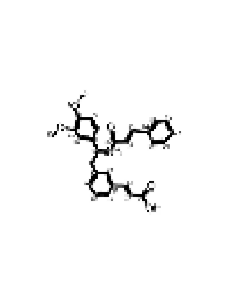 COc1ccc(C(Cc2cccc(C=CC(=O)O)c2)NC(=O)C=Cc2ccccc2)cc1OC